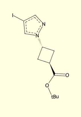 CC(C)(C)OC(=O)[C@H]1C[C@H](n2cc(I)cn2)C1